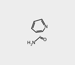 N[C]=O.c1ccncc1